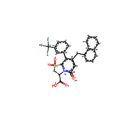 O=C(O)C1CS(=O)(=O)c2c(-c3cccc(C(F)(F)F)c3)c(Cc3cccc4ccccc34)cc(=O)n21